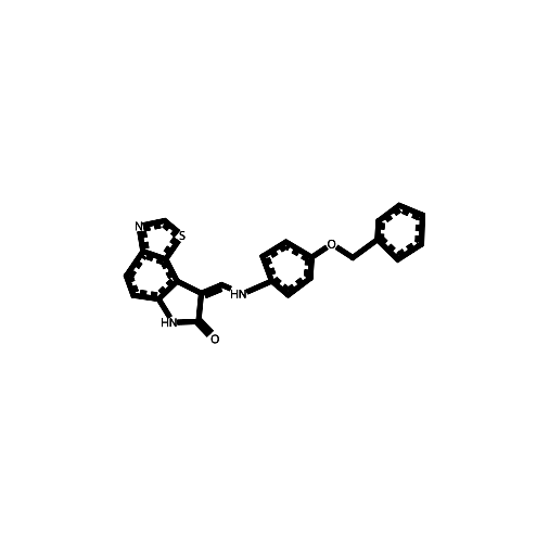 O=C1Nc2ccc3ncsc3c2C1=CNc1ccc(OCc2ccccc2)cc1